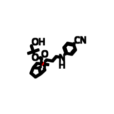 CN(C(=O)OC(C)(C)CO)C1C2CCC1CN(CCCNc1ccc(C#N)cc1)C2